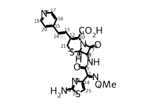 CON=C(C(=O)N[C@@H]1C(=O)N2C(C(=O)O)=C(/C=C/c3ccncc3)CS[C@@H]12)c1csc(N)n1